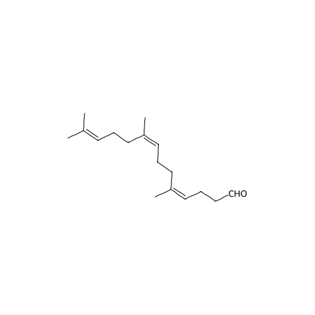 CC(C)=CCCC(C)=CCCC(C)=CCCC=O